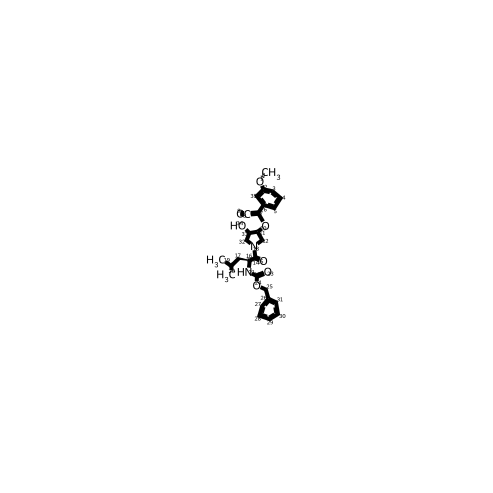 COc1cccc(C(=C=O)OC2CN(C(=O)[C@H](CC(C)C)NC(=O)OCc3ccccc3)CC2O)c1